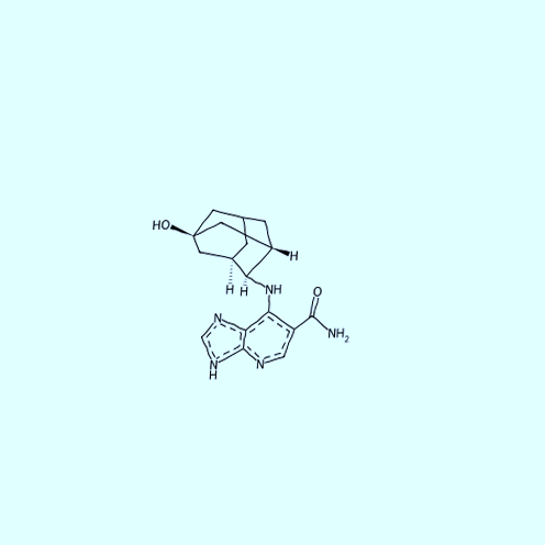 NC(=O)c1cnc2[nH]cnc2c1N[C@H]1[C@@H]2CC3C[C@H]1C[C@@](O)(C3)C2